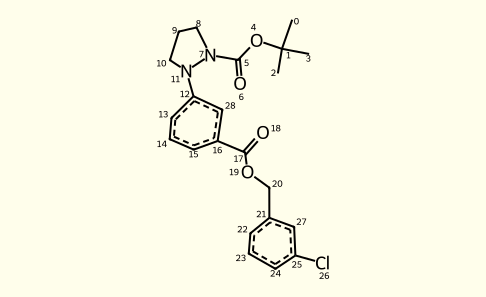 CC(C)(C)OC(=O)N1CCCN1c1cccc(C(=O)OCc2cccc(Cl)c2)c1